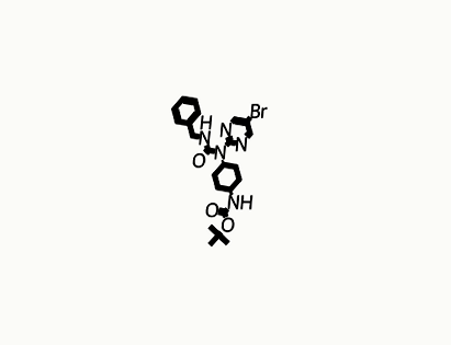 CC(C)(C)OC(=O)N[C@H]1CC[C@H](N(C(=O)NCc2ccccc2)c2ncc(Br)cn2)CC1